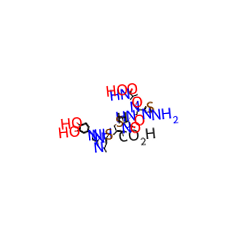 CC1=NC2=CN(c3ccc(O)c(O)c3)NN2C(SCC2=C(C(=O)O)N3C(=O)[C@@H](NC(=O)C(=NOC(C)(C)C(=O)NO)c4csc(N)n4)[C@H]3SC2)=C1